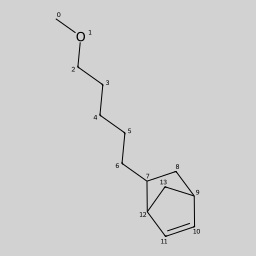 COCCCCCC1CC2C=CC1C2